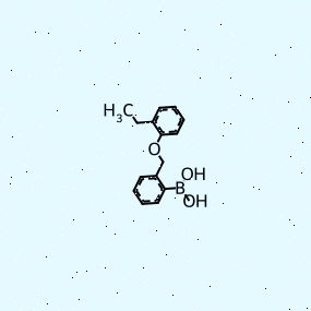 CCc1ccccc1OCc1ccccc1B(O)O